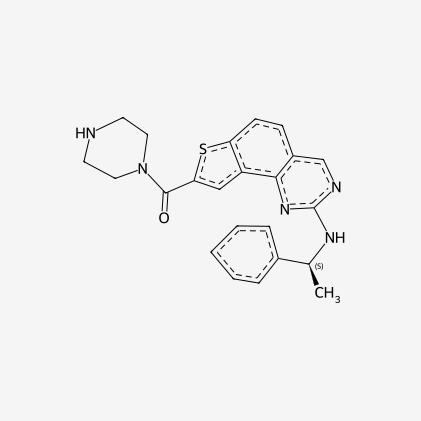 C[C@H](Nc1ncc2ccc3sc(C(=O)N4CCNCC4)cc3c2n1)c1ccccc1